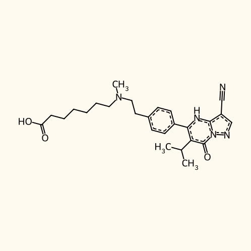 CC(C)c1c(-c2ccc(CCN(C)CCCCCCC(=O)O)cc2)[nH]c2c(C#N)cnn2c1=O